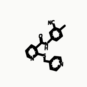 Cc1ccc(NC(=O)c2cccnc2SCc2ccncc2)cc1C#N